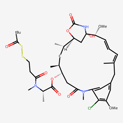 COc1cc2cc(c1Cl)N(C)C(=O)C[C@H](OC(=O)[C@H](C)N(C)C(=O)CCSSC(=O)C(C)(C)C)[C@@H](C)C[C@H](C)[C@@H]1C[C@@](O)(NC(=O)O1)[C@H](OC)/C=C/C=C(\C)C2